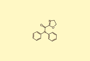 O=C(C1=NCCO1)N(c1ccccc1)c1ccccc1